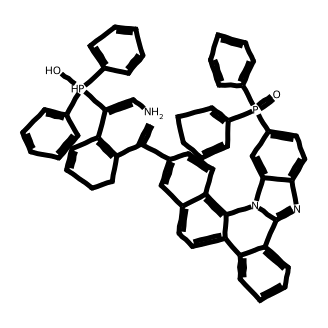 C=C(C1=C(/C(=C\N)[PH](O)(c2ccccc2)c2ccccc2)C=CCC1)c1ccc2c(ccc3c4ccccc4c4nc5ccc(P(=O)(C6=CCCC=C6)c6ccccc6)cc5n4c23)c1